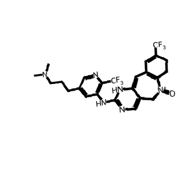 CN(C)CCCc1cnc(C(F)(F)F)c(NC2=NC=C3C[N+](=O)C4=C(C=C3N2)C=C(C(F)(F)F)CC4)c1